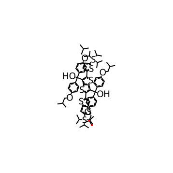 CC(C)COc1ccc(C(O)(c2ccc(OCC(C)C)cc2)c2c(-c3ccc(S(C(C)C)(C(C)C)C(C)C)s3)sc3c(C(O)(c4ccc(OCC(C)C)cc4)c4ccc(OCC(C)C)cc4)c(-c4cc5sc(S(C(C)C)(C(C)C)C(C)C)cc5s4)sc23)cc1